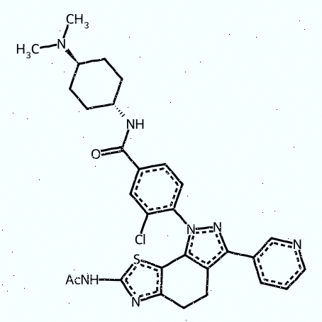 CC(=O)Nc1nc2c(s1)-c1c(c(-c3cccnc3)nn1-c1ccc(C(=O)N[C@H]3CC[C@H](N(C)C)CC3)cc1Cl)CC2